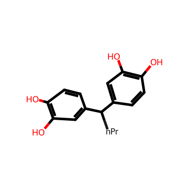 CCCC(c1ccc(O)c(O)c1)c1ccc(O)c(O)c1